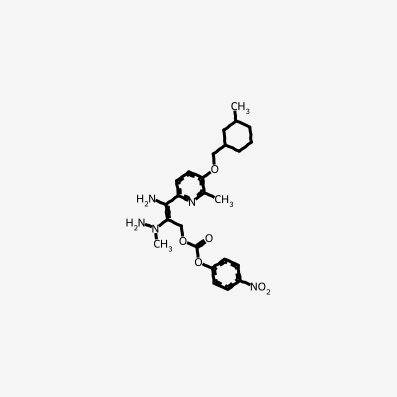 Cc1nc(/C(N)=C(\COC(=O)Oc2ccc([N+](=O)[O-])cc2)N(C)N)ccc1OCC1CCCC(C)C1